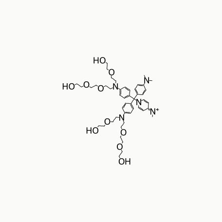 CN(C)c1ccc(C(c2ccc(N(CCOCCO)CCOCCOCCO)cc2)(c2ccc(N(CCOCCO)CCOCCOCCO)cc2)n2ccc(=[N+](C)C)cc2)cc1